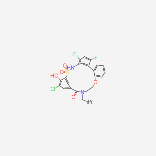 CC(C)CN1CCOc2ccccc2-c2cc(c(F)cc2F)NS(=O)(=O)c2cc(cc(Cl)c2O)C1=O